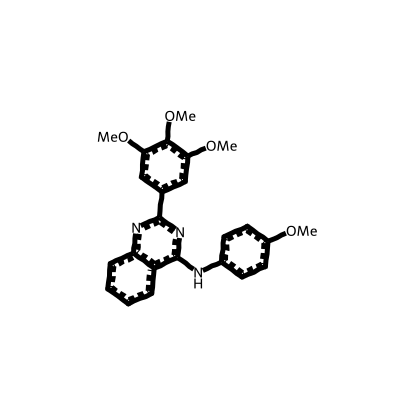 COc1ccc(Nc2nc(-c3cc(OC)c(OC)c(OC)c3)nc3ccccc23)cc1